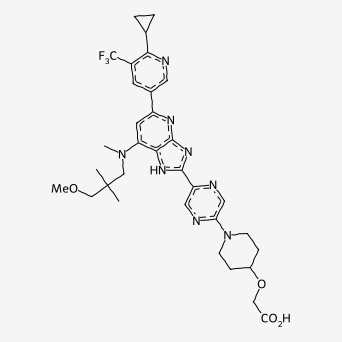 COCC(C)(C)CN(C)c1cc(-c2cnc(C3CC3)c(C(F)(F)F)c2)nc2nc(-c3cnc(N4CCC(OCC(=O)O)CC4)cn3)[nH]c12